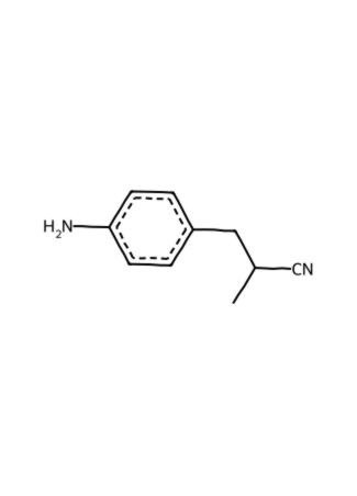 CC(C#N)Cc1ccc(N)cc1